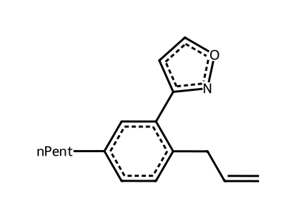 C=CCc1ccc(CCCCC)cc1-c1ccon1